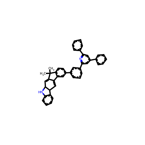 CC1(C)C2=CC3Nc4ccccc4C3C=C2c2cc(-c3cccc(-c4cc(-c5ccccc5)cc(-c5ccccc5)n4)c3)ccc21